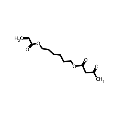 C=CC(=O)OCCCCCCOC(=O)CC(C)=O